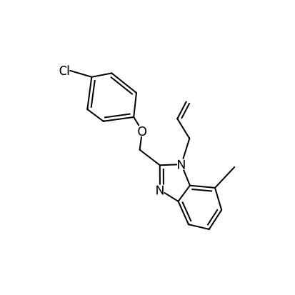 C=CCn1c(COc2ccc(Cl)cc2)nc2cccc(C)c21